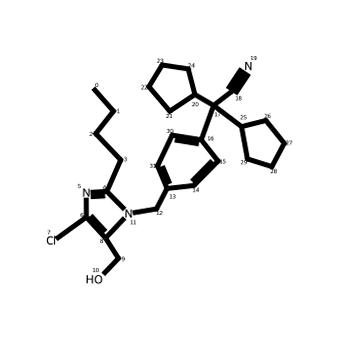 CCCCc1nc(Cl)c(CO)n1Cc1ccc(C(C#N)(C2CCCC2)C2CCCC2)cc1